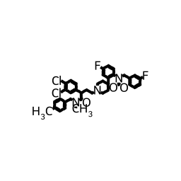 Cc1ccc(CN(C)C(=O)C(CCN2CCC3(CC2)OC(=O)N(Cc2cccc(F)c2)c2ccc(F)cc23)c2ccc(Cl)c(Cl)c2)cc1